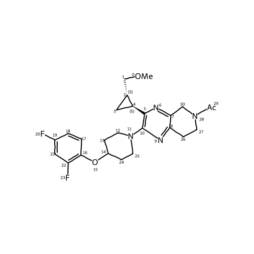 COC[C@H]1C[C@@H]1c1nc2c(nc1N1CCC(Oc3ccc(F)cc3F)CC1)CCN(C(C)=O)C2